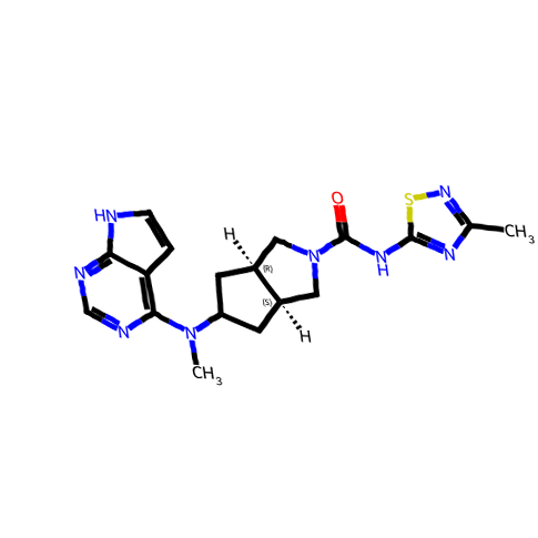 Cc1nsc(NC(=O)N2C[C@H]3CC(N(C)c4ncnc5[nH]ccc45)C[C@H]3C2)n1